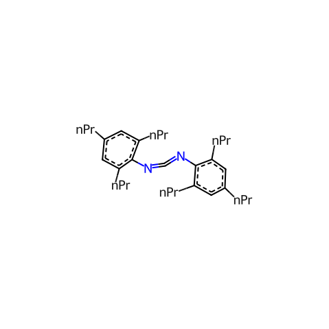 CCCc1cc(CCC)c(N=C=Nc2c(CCC)cc(CCC)cc2CCC)c(CCC)c1